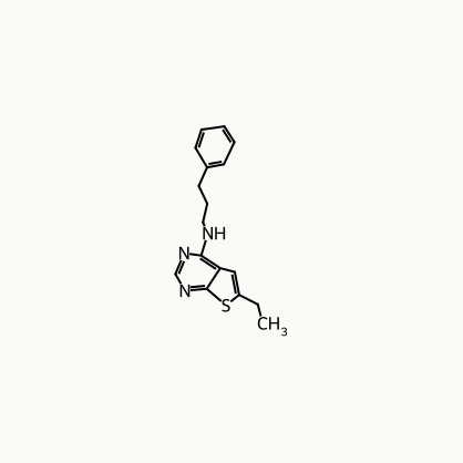 CCc1cc2c(NCCCc3ccccc3)ncnc2s1